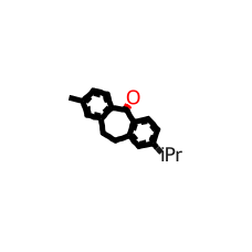 Cc1ccc2c(c1)CCc1cc(C(C)C)ccc1C2=O